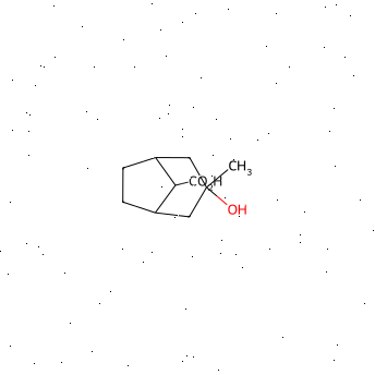 CC1(O)CC2CCC(C1)C2C(=O)O